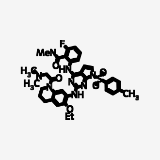 CCOc1cc2c(cc1Nc1nc(Nc3cccc(F)c3C(=O)NC)c3ccn(S(=O)(=O)c4ccc(C)cc4)c3n1)N(C(=O)CN(C)C)CCC2